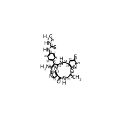 CCNC(=S)Nc1ccc(-c2c3nc4c(cnn4c2N)C(=O)NCC(C)Oc2ncc(F)cc2CN3)cc1